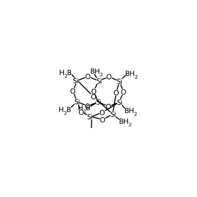 B[Si]12O[Si]3(B)O[Si]4(B)O[Si](B)(O1)O[Si]1(B)O[Si](B)(O2)O[Si](B)(O3)O[Si](C)(O4)O1